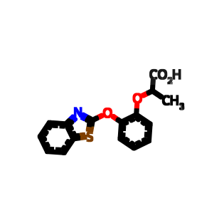 CC(Oc1ccccc1Oc1nc2ccccc2s1)C(=O)O